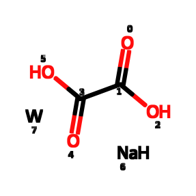 O=C(O)C(=O)O.[NaH].[W]